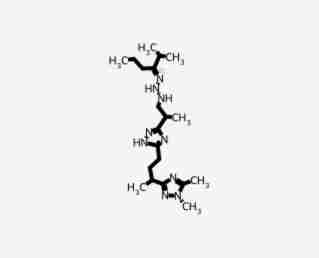 CCC/C(=N\NNCC(C)c1n[nH]c(CCC(C)c2nc(C)n(C)n2)n1)C(C)C